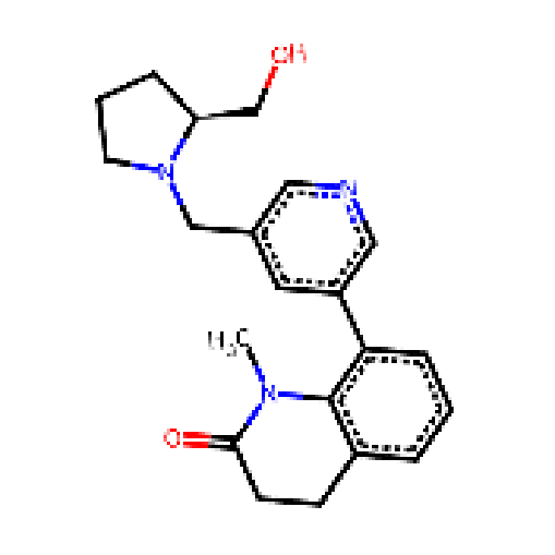 CN1C(=O)CCc2cccc(-c3cncc(CN4CCC[C@H]4CO)c3)c21